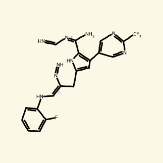 N=C/N=C(/N)c1[nH]c(C/C(=C/Nc2ccccc2F)N=N)cc1-c1cnc(C(F)(F)F)nc1